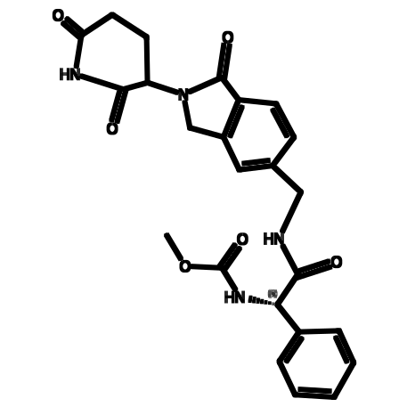 COC(=O)N[C@H](C(=O)NCc1ccc2c(c1)CN(C1CCC(=O)NC1=O)C2=O)c1ccccc1